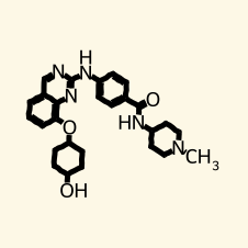 CN1CCC(NC(=O)c2ccc(Nc3ncc4cccc(OC5CCC(O)CC5)c4n3)cc2)CC1